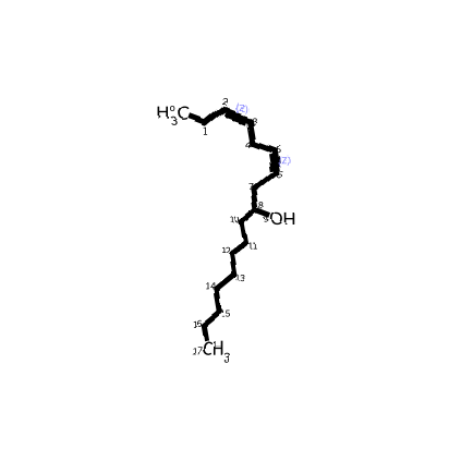 CC/C=C\C/C=C\CC(O)CCCCCCCC